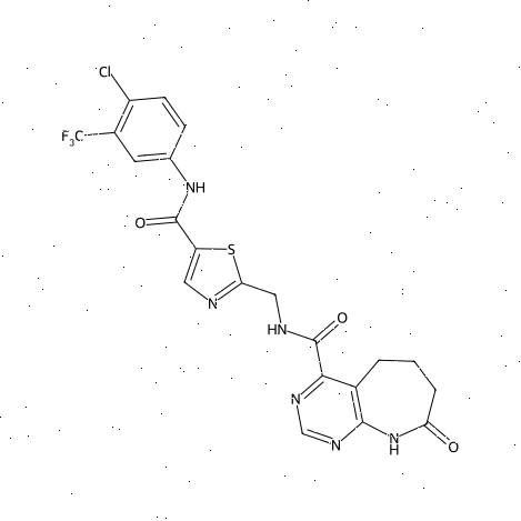 O=C1CCCc2c(ncnc2C(=O)NCc2ncc(C(=O)Nc3ccc(Cl)c(C(F)(F)F)c3)s2)N1